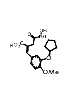 COc1ccc(C=C(CC(=O)NO)C(=O)O)cc1OC1CCCC1